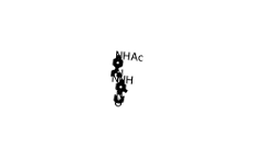 CC(=O)Nc1ccc(-c2ccnc(Nc3ccc(N4CCOCC4)c(C)c3)n2)cc1